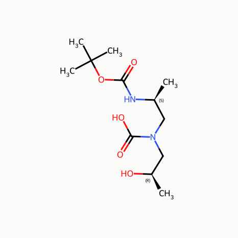 C[C@@H](O)CN(C[C@H](C)NC(=O)OC(C)(C)C)C(=O)O